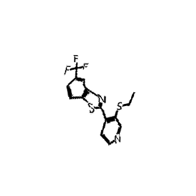 CCSc1cnccc1-c1nc2cc(C(F)(F)F)ccc2s1